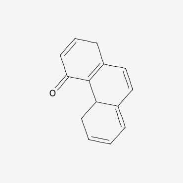 O=C1C=CCC2=C1C1CC=CC=C1C=C2